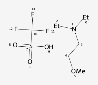 CCN(CC)CCOC.O=S(=O)(O)C(F)(F)F